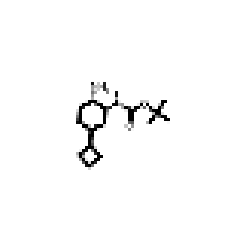 CC(C)(C)OC(=O)N[C@H]1CC(C2CCC2)CC[C@H]1N